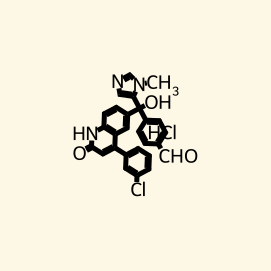 Cl.Cn1cncc1C(O)(c1ccc(C=O)cc1)c1ccc2[nH]c(=O)cc(-c3cccc(Cl)c3)c2c1